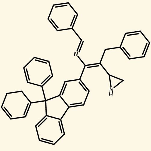 C1=CCCC(C2(c3ccccc3)c3ccccc3-c3ccc(C(/N=C/c4ccccc4)=C(/Cc4ccccc4)C4CN4)cc32)=C1